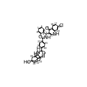 O=C(NC(c1ccccc1)c1c[nH]c2cc(Cl)ccc2c1=O)c1ccc(C(=O)NC2[C@@H]3CC4C[C@@H]2CC(O)(C4)C3)cc1